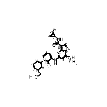 CNc1cc(Nc2cccn([C@@H]3CCC[C@H](OC)C3)c2=O)nc2c(C(=O)N[C@@H]3C[C@@H]3F)cnn12